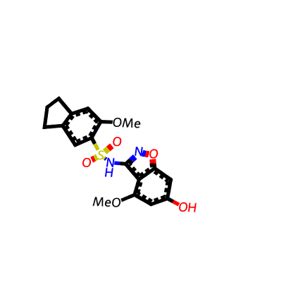 COc1cc2c(cc1S(=O)(=O)Nc1noc3cc(O)cc(OC)c13)CCC2